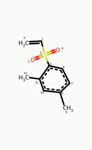 C=CS(=O)(=O)c1ccc(C)cc1C